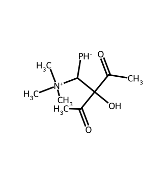 CC(=O)C(O)(C(C)=O)C([PH-])[N+](C)(C)C